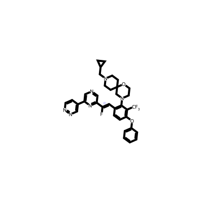 F/C(=C\c1ccc(Oc2ccccc2)c(C(F)(F)F)c1N1CCOC2(CCN(CC3CC3)CC2)C1)c1cncc(-c2ccnnc2)n1